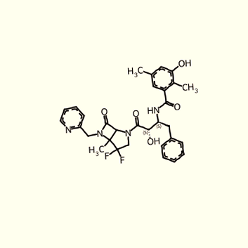 Cc1cc(O)c(C)c(C(=O)N[C@@H](Cc2ccccc2)[C@H](O)C(=O)N2CC(F)(F)C3(C)C2C(=O)N3Cc2ccccn2)c1